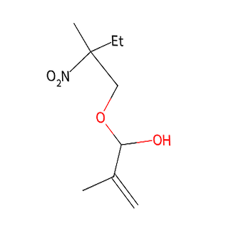 C=C(C)C(O)OCC(C)(CC)[N+](=O)[O-]